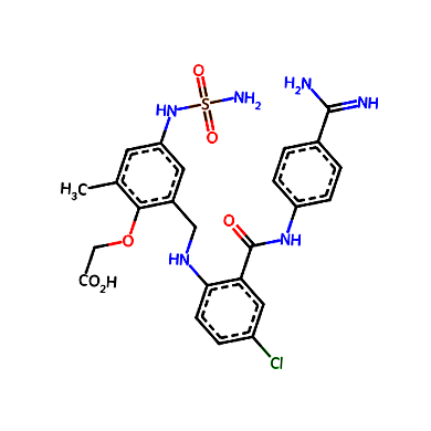 Cc1cc(NS(N)(=O)=O)cc(CNc2ccc(Cl)cc2C(=O)Nc2ccc(C(=N)N)cc2)c1OCC(=O)O